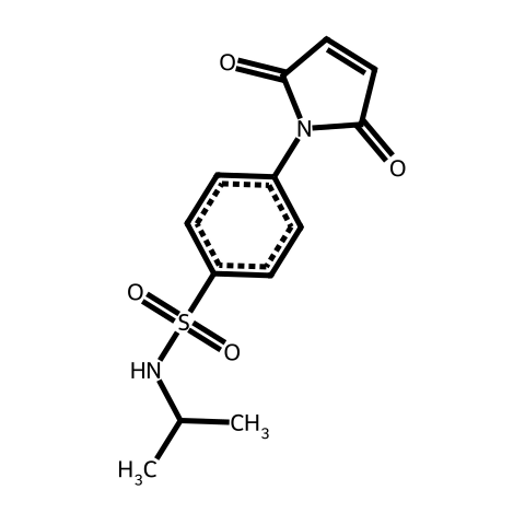 CC(C)NS(=O)(=O)c1ccc(N2C(=O)C=CC2=O)cc1